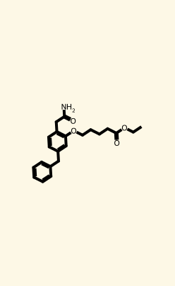 CCOC(=O)CCCCOc1cc(Cc2ccccc2)ccc1CC(N)=O